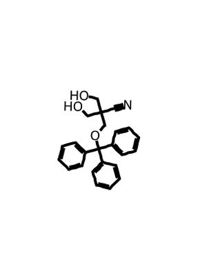 N#CC(CO)(CO)COC(c1ccccc1)(c1ccccc1)c1ccccc1